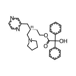 O=C(OCC[C@@H](Cc1cnccn1)CN1CCCC1)C(O)(c1ccccc1)c1ccccc1